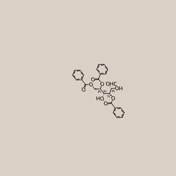 O=C[C@H](O)[C@@H](OC(=O)c1ccccc1)[C@H](O)[C@@H](COC(=O)c1ccccc1)OC(=O)c1ccccc1